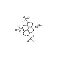 O=S(=O)([O-])c1ccc2ccc3c(S(=O)(=O)[O-])ccc4c(S(=O)(=O)[O-])cc1c2c34.[Na+].[Na+].[Na+]